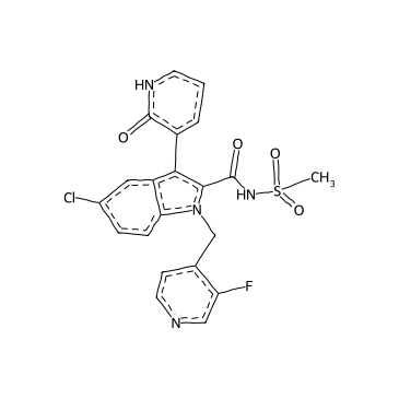 CS(=O)(=O)NC(=O)c1c(-c2ccc[nH]c2=O)c2cc(Cl)ccc2n1Cc1ccncc1F